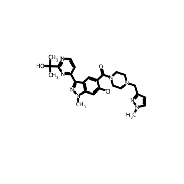 Cn1ccc(CN2CCN(C(=O)c3cc4c(-c5ccnc(C(C)(C)O)n5)nn(C)c4cc3Cl)CC2)n1